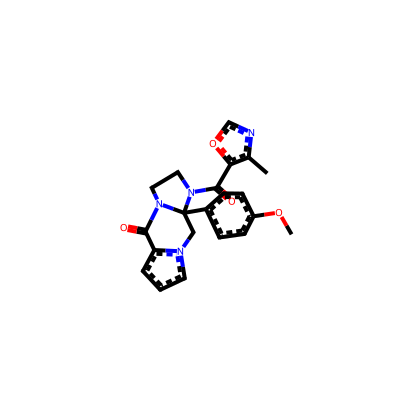 COc1ccc(C23Cn4cccc4C(=O)N2CCN3C(=O)c2ocnc2C)cc1